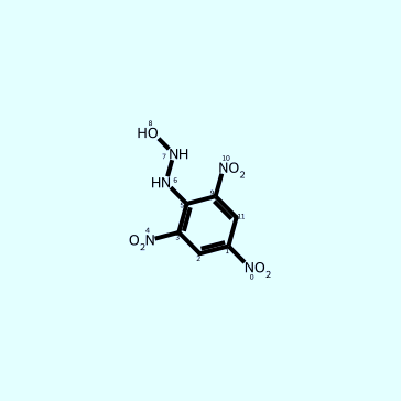 O=[N+]([O-])c1cc([N+](=O)[O-])c(NNO)c([N+](=O)[O-])c1